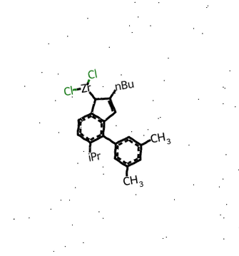 CCCCC1=Cc2c(ccc(C(C)C)c2-c2cc(C)cc(C)c2)[CH]1[Zr]([Cl])[Cl]